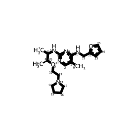 Cc1cnc(NC(C)[C@H](C)OCCN2CCCC2)nc1NCc1ccco1